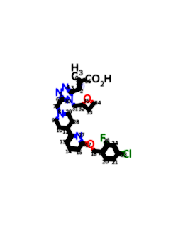 C/C(=C\c1nnc(CN2CCC(c3cccc(OCc4ccc(Cl)cc4F)n3)CC2)n1CC1CCO1)C(=O)O